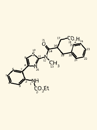 CCOC(=O)Nc1ccccc1-c1csc(N(C)C(=O)C(CC(=O)O)Cc2ccccc2)n1